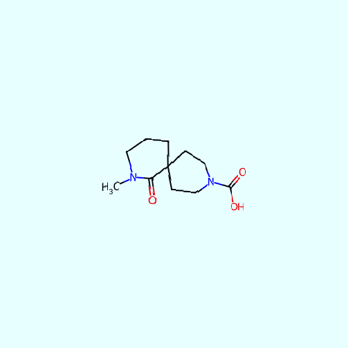 CN1CCCC2(CCN(C(=O)O)CC2)C1=O